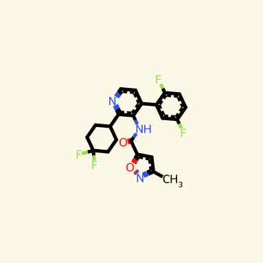 Cc1cc(C(=O)Nc2c(-c3cc(F)ccc3F)ccnc2C2CCC(F)(F)CC2)on1